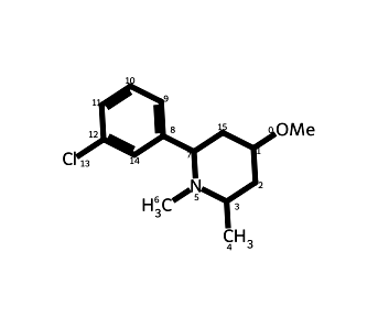 COC1CC(C)N(C)C(c2cccc(Cl)c2)C1